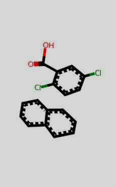 O=C(O)c1cc(Cl)ccc1Cl.c1ccc2ccccc2c1